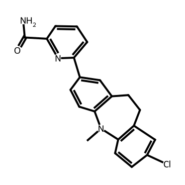 CN1c2ccc(Cl)cc2CCc2cc(-c3cccc(C(N)=O)n3)ccc21